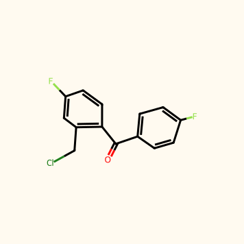 O=C(c1ccc(F)cc1)c1ccc(F)cc1CCl